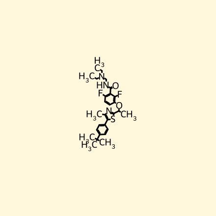 CCN(CC)CNC(=O)c1c(F)ccc(OC(C)c2nc(C)c(-c3ccc(C(C)(C)C)cc3)s2)c1F